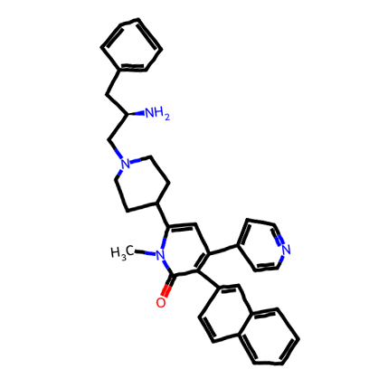 Cn1c(C2CCN(C[C@H](N)Cc3ccccc3)CC2)cc(-c2ccncc2)c(-c2ccc3ccccc3c2)c1=O